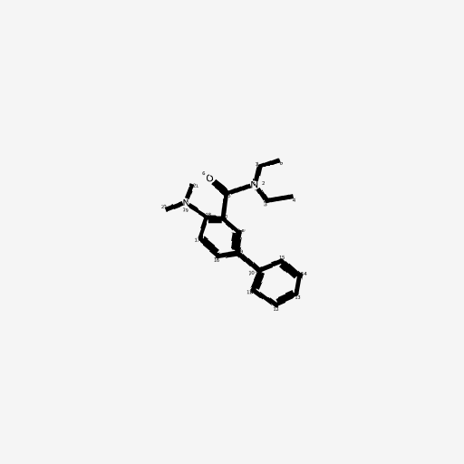 CCN(CC)C(=O)c1cc(-c2ccccc2)ccc1N(C)C